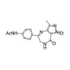 CCn1nc(C)c2c1C(=O)NCC(c1ccc(NC(C)=O)cc1)=N2